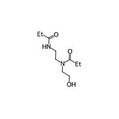 CCC(=O)NCCN(CCO)C(=O)CC